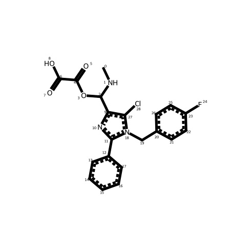 CNC(OC(=O)C(=O)O)c1nc(-c2ccccc2)n(Cc2ccc(F)cc2)c1Cl